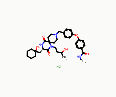 CNC(=O)c1ccc(Oc2ccc(CN3CCC4(CC3)C(=O)N[C@H](CC3(O)CCCCC3)C(=O)N4CCC(C)O)cc2)cc1.Cl